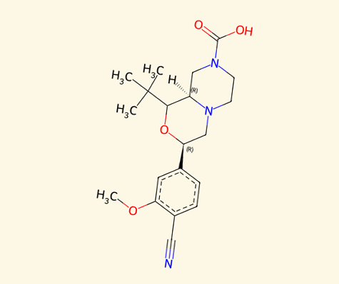 COc1cc([C@@H]2CN3CCN(C(=O)O)C[C@@H]3C(C(C)(C)C)O2)ccc1C#N